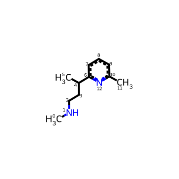 CNCCC(C)c1cccc(C)n1